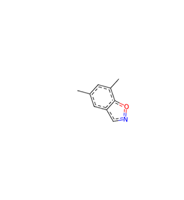 Cc1cc(C)c2oncc2c1